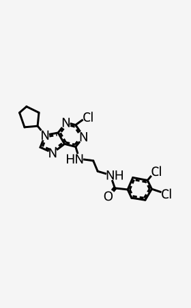 O=C(NCCNc1nc(Cl)nc2c1ncn2C1CCCC1)c1ccc(Cl)c(Cl)c1